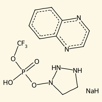 O=P(O)(ON1CCNN1)OC(F)(F)F.[NaH].c1ccc2nccnc2c1